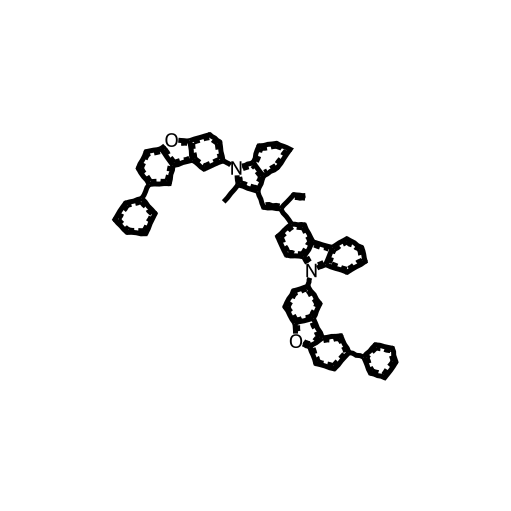 C=C/C(=C\c1c(C)n(-c2ccc3oc4ccc(-c5ccccc5)cc4c3c2)c2ccccc12)c1ccc2c(c1)c1ccccc1n2-c1ccc2oc3ccc(-c4ccccc4)cc3c2c1